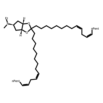 CCCCC/C=C\C/C=C\CCCCCCCCC1(CCCCCCCC/C=C\C/C=C\CCCCC)O[C@H]2C[C@H](N(C)CC)C[C@H]2O1